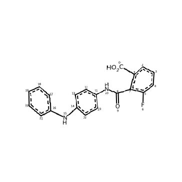 O=C(O)c1cccc(F)c1C(=O)Nc1ccc(Nc2ccccc2)cc1